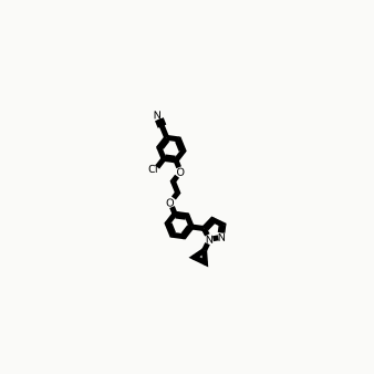 N#Cc1ccc(OCCOc2cccc(-c3ccnn3C3CC3)c2)c(Cl)c1